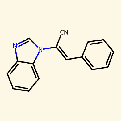 N#CC(=Cc1ccccc1)n1cnc2ccccc21